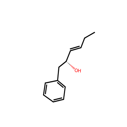 CC/C=C/[C@H](O)Cc1ccccc1